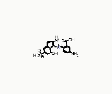 Nc1ccc(/N=N/c2c(N)ccc3cc(S(=O)(=O)O)cc(O)c23)c(C(=O)O)c1